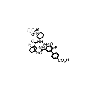 COc1cc(F)c(-c2ccc(C(=O)O)cc2)cc1C(=O)N[C@H]1[C@@H]2CC[C@@H](C2)[C@H]1C(=O)N[C@H]1CCCN(S(=O)(=O)C(F)(F)F)C1